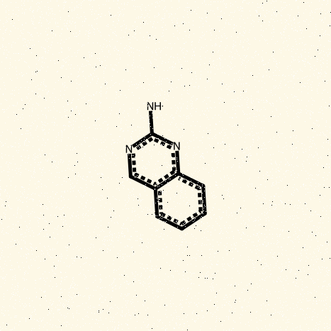 [NH]c1ncc2ccccc2n1